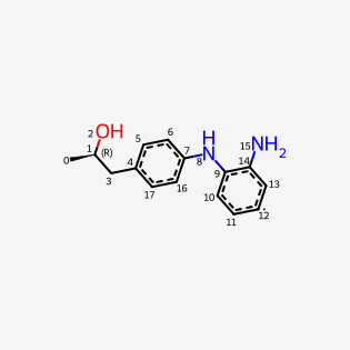 C[C@@H](O)Cc1ccc(Nc2cc[c]cc2N)cc1